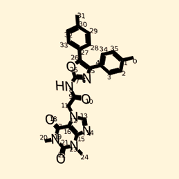 Cc1ccc(-c2nc(NC(=O)Cn3cnc4c3c(=O)n(C)c(=O)n4C)oc2-c2ccc(C)cc2)cc1